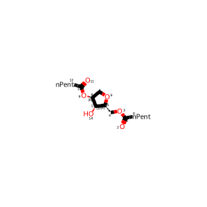 CCCCCC(=O)OC[C@H]1OC[C@@H](OC(=O)CCCCC)[C@H]1O